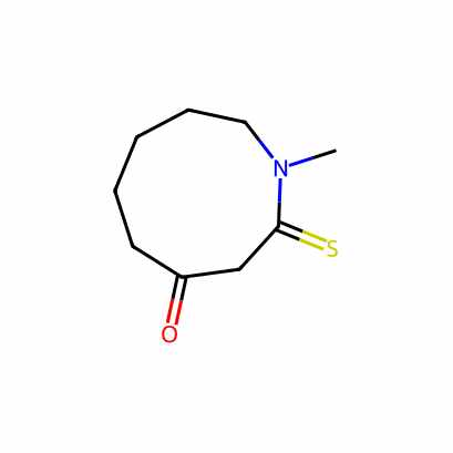 CN1CCCCCC(=O)CC1=S